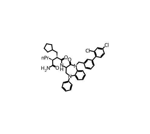 CCC[C@H](C(N)=O)[C@@H](CC1CCCC1)C(=O)NC1CN(c2ccccc2)c2ccccc2N(Cc2cccc(-c3ccc(Cl)cc3Cl)c2)C1=O